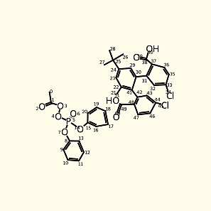 CC(=O)OOP(=O)(Oc1ccccc1)Oc1ccccc1.Cc1cc(C(C)(C)C)cc(-c2cc(Cl)ccc2C(=O)O)c1-c1cc(Cl)ccc1C(=O)O